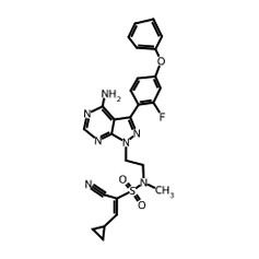 CN(CCn1nc(-c2ccc(Oc3ccccc3)cc2F)c2c(N)ncnc21)S(=O)(=O)/C(C#N)=C/C1CC1